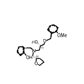 COc1ccccc1COC[C@@H](O)CN(Cc1ccccc1O)C[C@@H]1CCCO1